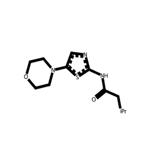 CC(C)CC(=O)Nc1ncc(N2CCOCC2)s1